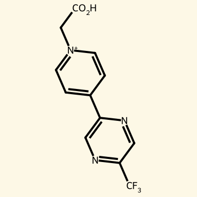 O=C(O)C[n+]1ccc(-c2cnc(C(F)(F)F)cn2)cc1